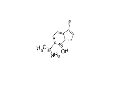 C[C@@H](N)c1ccc2c(F)ccc-2n1O